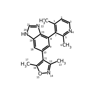 Cc1ccnc(C)c1-c1cc(-c2c(C)noc2C)cc2[nH]cnc12